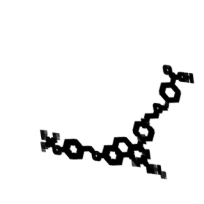 Nc1nc2c(c(N3CCN(CCOC[C@H]4CC[C@H](C(=O)O)CC4)CC3)n1)CCc1cc(OCc3ccc(OC(F)(F)F)cc3)ccc1-2